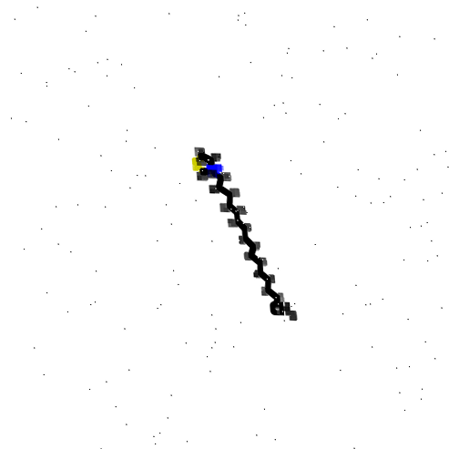 CCCCCCCCCCCCCCCC[n+]1ccsc1